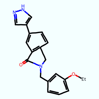 CCOc1cccc(CN2Cc3ccc(-c4cn[nH]c4)cc3C2=O)c1